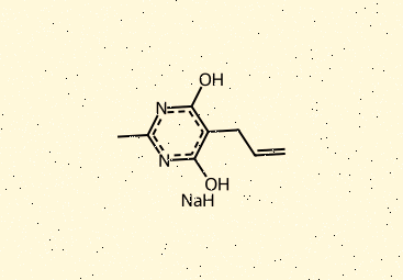 C=CCc1c(O)nc(C)nc1O.[NaH]